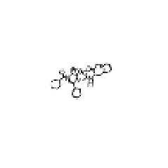 CC(C)C1C(=O)N(CC(=O)NC(Cc2ccccc2)C(=O)C(F)(F)F)C(c2ccccc2)=CN1C(=O)C1CCCCC1